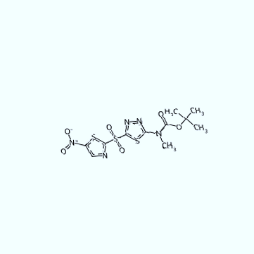 CN(C(=O)OC(C)(C)C)c1nnc(S(=O)(=O)c2ncc([N+](=O)[O-])s2)s1